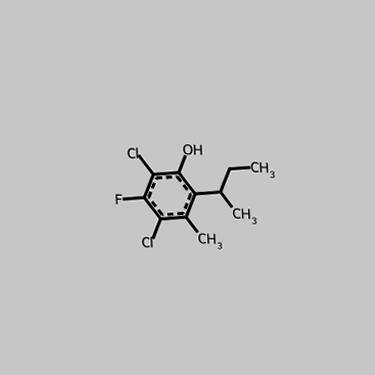 CCC(C)c1c(C)c(Cl)c(F)c(Cl)c1O